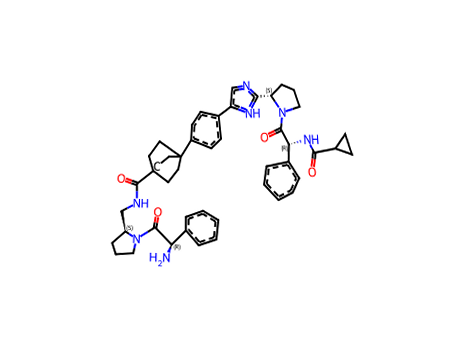 N[C@@H](C(=O)N1CCC[C@H]1CNC(=O)C12CCC(c3ccc(-c4cnc([C@@H]5CCCN5C(=O)[C@H](NC(=O)C5CC5)c5ccccc5)[nH]4)cc3)(CC1)CC2)c1ccccc1